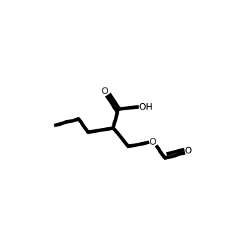 CCCC(CO[C]=O)C(=O)O